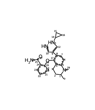 CC1CCc2c(ccc(/C(C=N)=C/NC3CC3)c2Oc2ncccc2C(N)=O)N1C